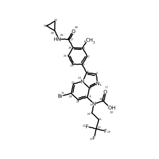 Cc1cc(-c2cnc3c(N(CCC(F)(F)F)C(=O)O)cc(Br)cn23)ccc1C(=O)NC1CC1